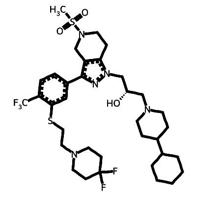 CS(=O)(=O)N1CCc2c(c(-c3ccc(C(F)(F)F)c(SCCN4CCC(F)(F)CC4)c3)nn2C[C@@H](O)CN2CCC(C3CCCCC3)CC2)C1